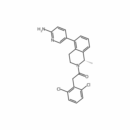 C[C@H]1c2cccc(-c3ccc(N)nc3)c2CCN1C(=O)Cc1c(Cl)cccc1Cl